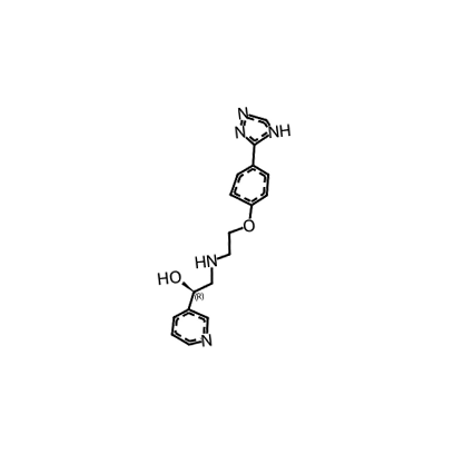 O[C@@H](CNCCOc1ccc(-c2nnc[nH]2)cc1)c1cccnc1